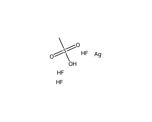 CS(=O)(=O)O.F.F.F.[Ag]